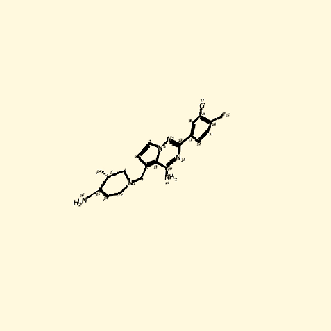 C[C@@H]1CN(Cc2ccn3nc(-c4ccc(F)c(Cl)c4)nc(N)c23)CC[C@H]1N